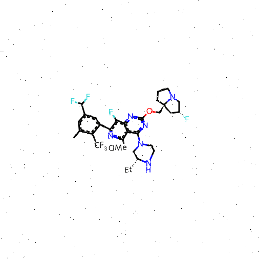 CC[C@@H]1CN(c2nc(OC[C@@]34CCCN3C[C@H](F)C4)nc3c(F)c(-c4cc(C(F)F)cc(C)c4C(F)(F)F)nc(OC)c23)CCN1